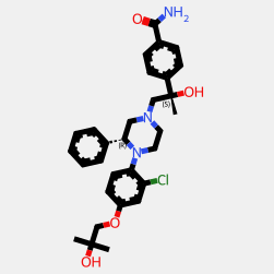 CC(C)(O)COc1ccc(N2CCN(C[C@@](C)(O)c3ccc(C(N)=O)cc3)C[C@H]2c2ccccc2)c(Cl)c1